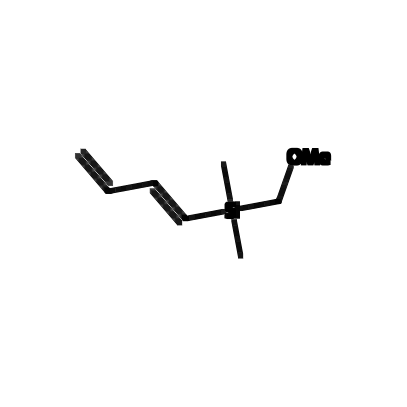 C=CC=C[Si](C)(C)COC